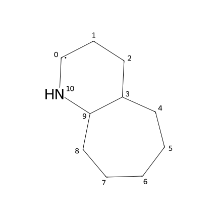 [CH]1CCC2CCCCCC2N1